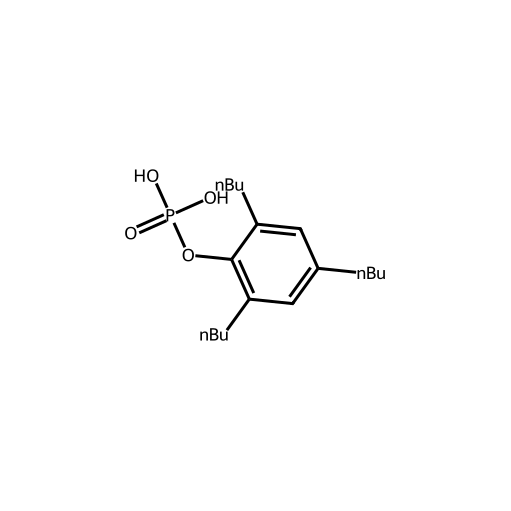 CCCCc1cc(CCCC)c(OP(=O)(O)O)c(CCCC)c1